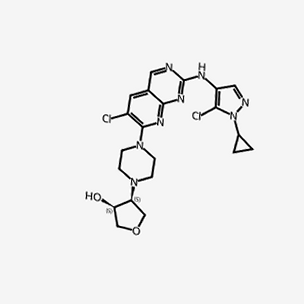 O[C@@H]1COC[C@@H]1N1CCN(c2nc3nc(Nc4cnn(C5CC5)c4Cl)ncc3cc2Cl)CC1